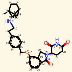 CC1(C)C2CC[C@@]1(C)[C@@H](NCCc1ccc(CSc3cccc4c3CN(C3CCC(=O)NC3=O)C4=O)cc1)C2